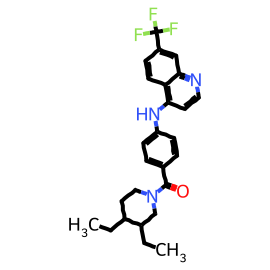 CCC1CCN(C(=O)c2ccc(Nc3ccnc4cc(C(F)(F)F)ccc34)cc2)CC1CC